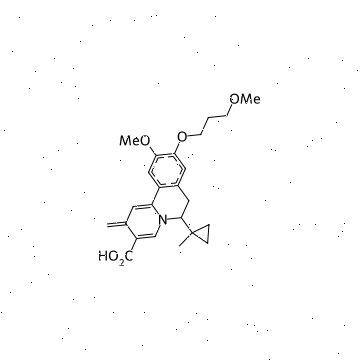 C=C1C=C2c3cc(OC)c(OCCCOC)cc3CC(C3(C)CC3)N2C=C1C(=O)O